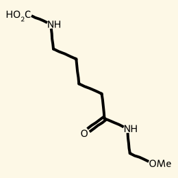 COCNC(=O)CCCCNC(=O)O